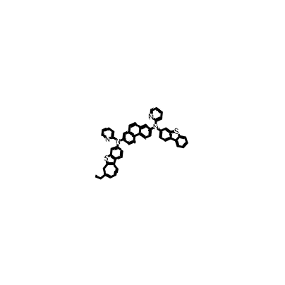 CCC1=CC=Cc2c(sc3cc(N(c4ccc5c(ccc6cc(N(c7ccc8c(c7)sc7ccccc78)c7ccccn7)ccc65)c4)c4ccccn4)ccc23)C1